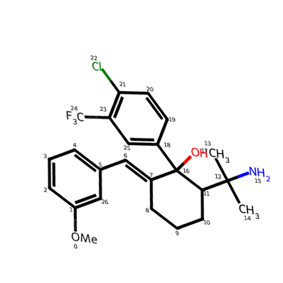 COc1cccc(C=C2CCCC(C(C)(C)N)C2(O)c2ccc(Cl)c(C(F)(F)F)c2)c1